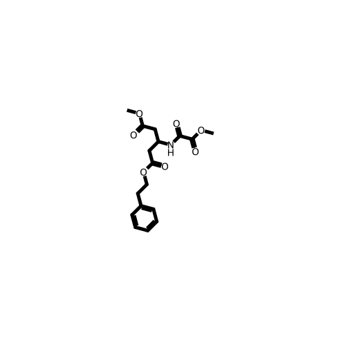 COC(=O)CC(CC(=O)OCCc1ccccc1)NC(=O)C(=O)OC